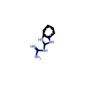 N=C(N)NC1Nc2ccccc2N1